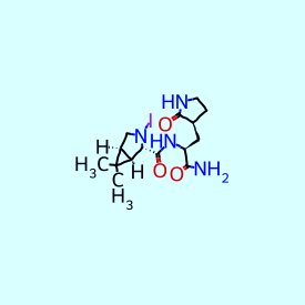 CC1(C)[C@@H]2[C@@H](C(=O)N[C@@H](C[C@@H]3CCNC3=O)C(N)=O)N(I)C[C@@H]21